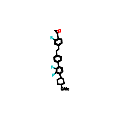 COC1CCC(c2ccc(-c3ccc(CCc4ccc(C5CO5)c(F)c4)cc3)c(F)c2F)CC1